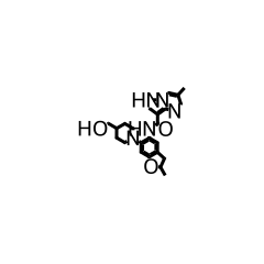 CC1=CN2NCC(C(=O)Nc3cc4c(cc3N3CCC(CO)CC3)OC(C)C4)=C2N=C1